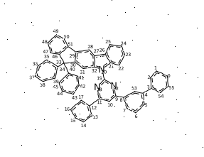 c1ccc(-c2cccc(-c3cc(-c4ccccc4)nc(-n4c5ccccc5c5cc6c(cc54)C(c4ccccc4)(c4ccccc4)c4ccccc4-6)n3)c2)cc1